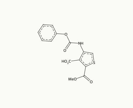 COC(=O)c1scc(NC(=O)Oc2ccccc2)c1C(=O)O